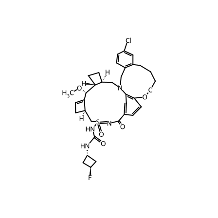 CO[C@H]1C2=CC[C@@H]2CS(=O)(NC(=O)N[C@H]2C[C@H](F)C2)=NC(=O)c2ccc3c(c2)N(Cc2ccc(Cl)cc2CCCCO3)C[C@@H]2CC[C@H]21